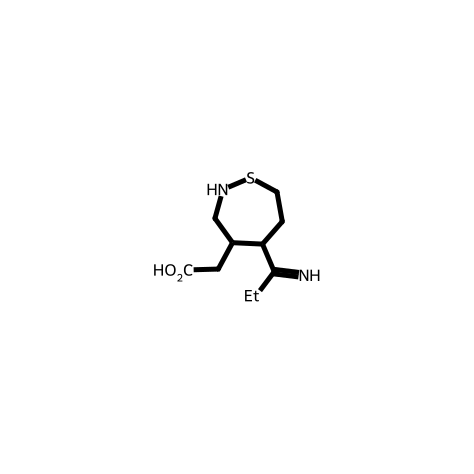 CCC(=N)C1CCSNCC1CC(=O)O